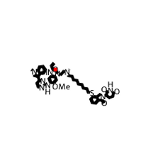 C=CC(=O)Nc1cc(Nc2nccc(-c3cn(C)c4ccccc34)n2)c(OC)cc1N(C)CCN(C)CCCCCCCCCSc1cccc2c1CN(C1CCC(=O)NC1=O)C2=O